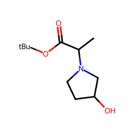 CC(C(=O)OC(C)(C)C)N1CCC(O)C1